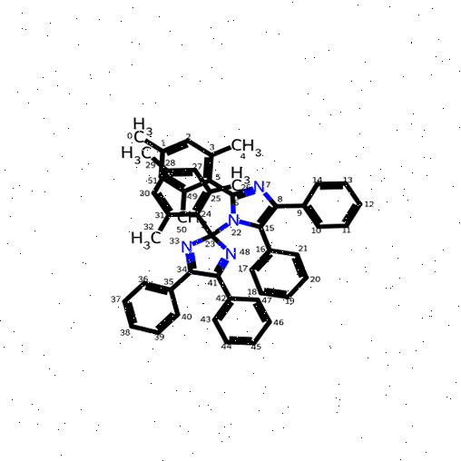 Cc1cc(C)c(-c2nc(-c3ccccc3)c(-c3ccccc3)n2C2(c3c(C)cc(C)cc3C)N=C(c3ccccc3)C(c3ccccc3)=N2)c(C)c1